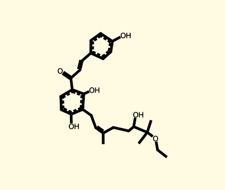 CCOC(C)(C)C(O)CCC(C)=CCc1c(O)ccc(C(=O)C=Cc2ccc(O)cc2)c1O